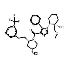 COC[C@]1(O)CCCC[C@H]1n1cnc(C(=O)N2CCNC[C@H]2CCc2cccc(C(F)(F)F)c2)c1-c1ccccc1.Cl